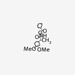 COc1ccc(C(C)C(=O)NOC(=O)c2ccccc2)cc1OC